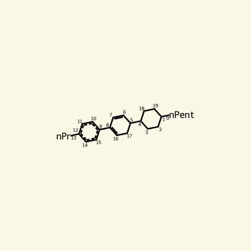 CCCCCC1CCC(C2C=CC(c3ccc(CCC)cc3)=CC2)CC1